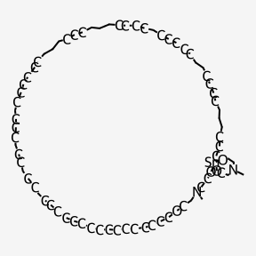 CN1CCOCCCCCCCCCCCCCCCCCCCCCCCCCCCCCCCCCCCCCCCCCCCCCCCCCCCCCCCCCCCCCCC[CH2][Sn]2([O]CC1)[O]CCN(C)CC[O]2